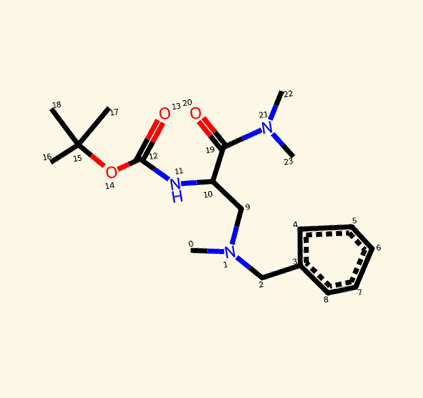 CN(Cc1ccccc1)CC(NC(=O)OC(C)(C)C)C(=O)N(C)C